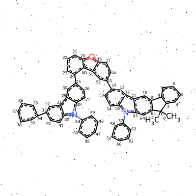 CC1(C)c2ccccc2-c2cc3c4cc(-c5ccc6oc7cccc(-c8ccc9c(c8)c8cc(-c%10ccccc%10)ccc8n9-c8ccccc8)c7c6c5)ccc4n(-c4ccccc4)c3cc21